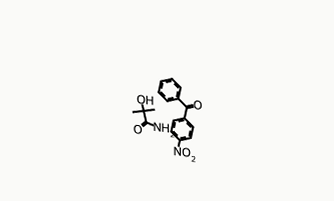 CC(C)(O)C(N)=O.O=C(c1ccccc1)c1ccc([N+](=O)[O-])cc1